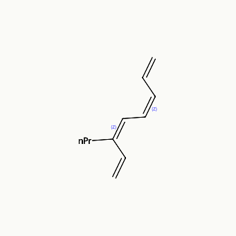 C=C/C=C\C=C(/C=C)CCC